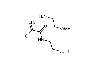 C=C(C)C(=O)NCCS(=O)(=O)O.COCCN